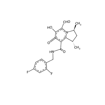 C[C@H]1C[C@H](C)n2c(C=O)c(O)c(=O)c(C(=O)NCc3ccc(F)cc3F)c21